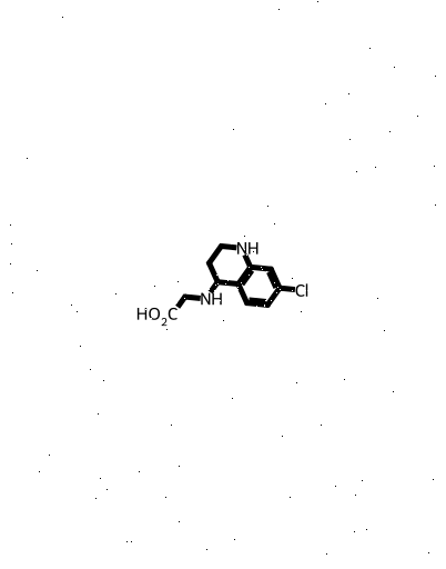 O=C(O)CNC1CCNc2cc(Cl)ccc21